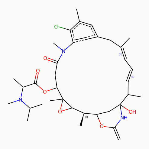 C=C1NC2(O)CC(O1)[C@@H](C)C1OC1(C)C(OC(=O)C(C)N(C)C(C)C)CC(=O)N(C)c1cc(cc(C)c1Cl)C/C(C)=C/C=C/C2C